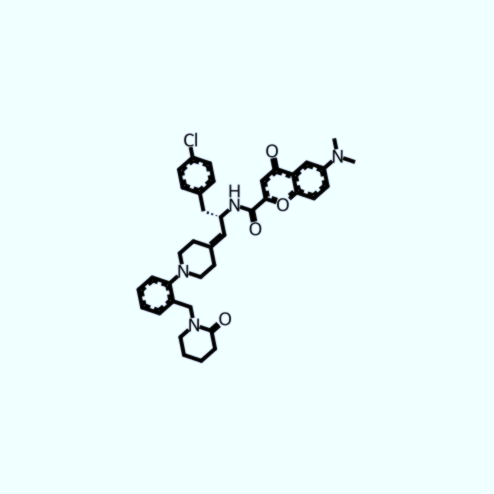 CN(C)c1ccc2oc(C(=O)N[C@H](C=C3CCN(c4ccccc4CN4CCCCC4=O)CC3)Cc3ccc(Cl)cc3)cc(=O)c2c1